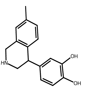 Cc1ccc2c(c1)CNCC2c1ccc(O)c(O)c1